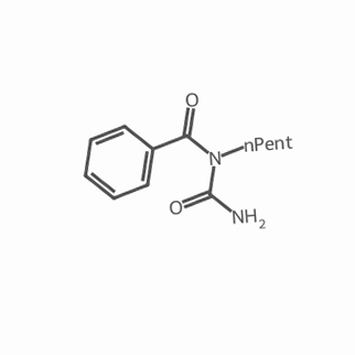 CCCCCN(C(N)=O)C(=O)c1ccccc1